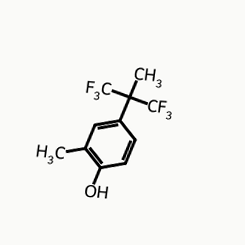 Cc1cc(C(C)(C(F)(F)F)C(F)(F)F)ccc1O